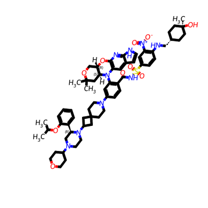 CC(C)Oc1ccccc1[C@@H]1CN(C2CCOCC2)CCN1C1CC2(CCN(c3ccc(C(=O)NS(=O)(=O)c4ccc(NC[C@H]5CC[C@](C)(O)CC5)c([N+](=O)[O-])c4)c(N4c5cc6cc[nH]c6nc5O[C@H]5COC(C)(C)C[C@@H]54)c3)CC2)C1